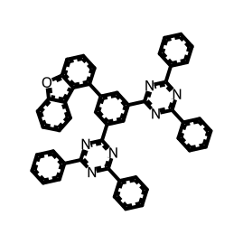 c1ccc(-c2nc(-c3ccccc3)nc(-c3cc(-c4nc(-c5ccccc5)nc(-c5ccccc5)n4)cc(-c4cccc5oc6ccccc6c45)c3)n2)cc1